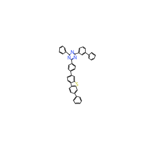 c1ccc(-c2cccc(-c3nc(-c4ccccc4)nc(-c4ccc(-c5ccc6c(c5)sc5cc(-c7ccccc7)ccc56)cc4)n3)c2)cc1